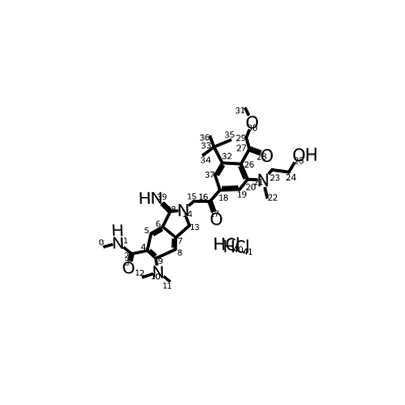 CNC(=O)c1cc2c(cc1N(C)C)CN(CC(=O)c1cc(N(C)CCO)c(C(=O)COC)c(C(C)(C)C)c1)C2=N.Cl.Cl